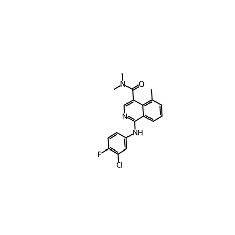 Cc1cccc2c(Nc3ccc(F)c(Cl)c3)ncc(C(=O)N(C)C)c12